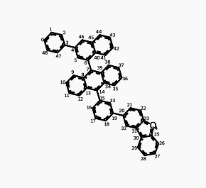 c1ccc(-c2cc(-c3c4ccccc4c(-c4cccc(-c5ccc6oc7ccccc7c6c5)c4)c4ccccc34)c3ccccc3c2)cc1